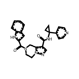 O=C(NC1(c2ccncc2)CC1)c1cnn2c1CN(C(=O)c1cc3ccccc3[nH]1)CC2